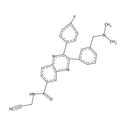 C#CCNC(=O)c1ccc2nc(-c3ccc(F)cc3)c(-c3cccc(CN(C)C)c3)nc2c1